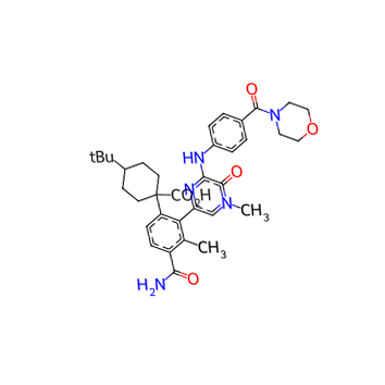 Cc1c(C(N)=O)ccc(C2(C(=O)O)CCC(C(C)(C)C)CC2)c1-c1cn(C)c(=O)c(Nc2ccc(C(=O)N3CCOCC3)cc2)n1